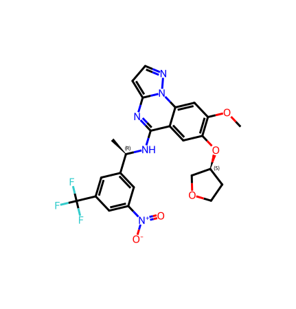 COc1cc2c(cc1O[C@H]1CCOC1)c(N[C@H](C)c1cc([N+](=O)[O-])cc(C(F)(F)F)c1)nc1ccnn12